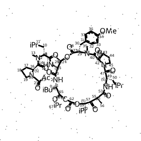 CC[C@H](C)[C@@H]1NC(=O)[C@@H](NC(=O)[C@@H](CC(C)C)N(C)C(=O)[C@@H]2CCCN2C(=O)C(C)=O)[C@@H](C)OC(=O)[C@H](Cc2ccc(OC)cc2)N(C)C(=O)[C@@H]2CCCN2C(=O)[C@H](CC(C)C)NC(=O)[C@@H](C)C(=O)[C@H](C(C)C)OC(=O)C[C@H]1OC(C)C